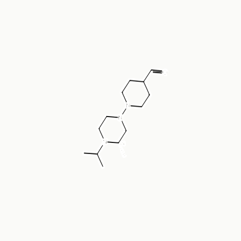 CC(C)N1CCN(N2CCC(C=O)CC2)C[C@@H]1C